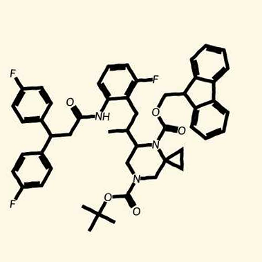 CC(Cc1c(F)cccc1NC(=O)CC(c1ccc(F)cc1)c1ccc(F)cc1)C1CN(C(=O)OC(C)(C)C)CC2(CC2)N1C(=O)OCC1c2ccccc2-c2ccccc21